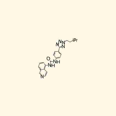 CC(C)CCn1nnc(-c2ccc(NC(=O)Nc3cccc4cnccc34)cc2)n1